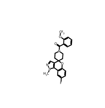 Cn1ncc2c1-c1cc(F)ccc1OC21CCN(C(=O)c2ccccc2OC(F)(F)F)CC1